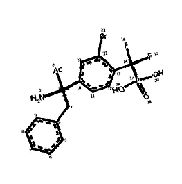 CC(=O)C(N)(Cc1ccccc1)c1ccc(C(F)(F)P(=O)(O)O)c(Br)c1